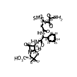 CSN(CC(=O)NC(C(=O)N[C@@H]1C(=O)N2[C@@H]1SC(C)(C)[C@@H]2C(=O)O)c1ccccc1)C(=O)C(N)=O